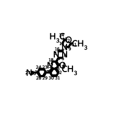 COc1c(-c2cnc(N3CC(C)OC(C)C3)cn2)cnc2c(-c3ccc(C#N)cc3)cccc12